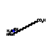 CCCCCCCCCC(CCCCCCCCCCC=CCCCC(=O)O)N(C)C